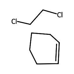 C1=CCCCC1.ClCCCl